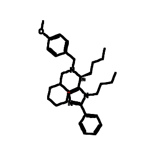 CCCC[C@@H](c1cnc(-c2ccccc2)n1CCCC)N(Cc1ccc(OC)cc1)CC1CCCCC1